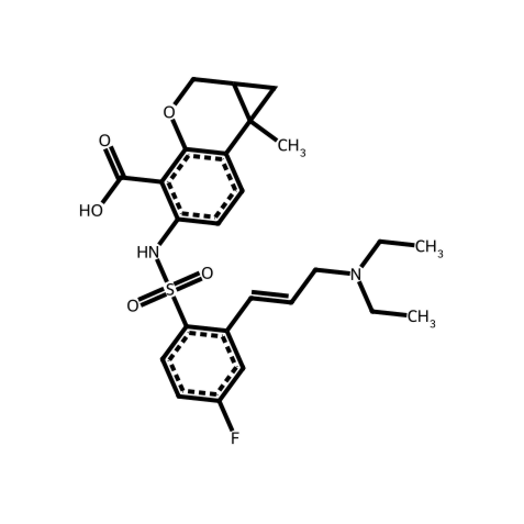 CCN(CC)C/C=C/c1cc(F)ccc1S(=O)(=O)Nc1ccc2c(c1C(=O)O)OCC1CC21C